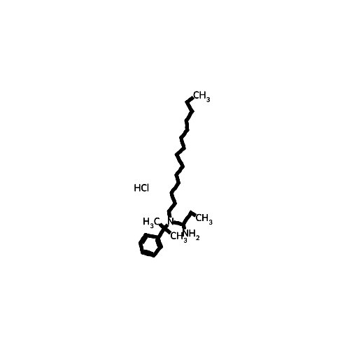 CCCCCCCCCCCCCCN(C(N)CC)C(C)(C)c1ccccc1.Cl